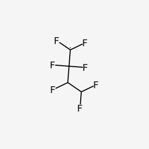 F[C](F)C(F)(F)C(F)C(F)F